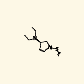 CCN(CC)[C@@H]1CCN(SF)C1